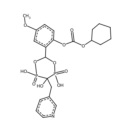 COc1ccc(OC(=O)OC2CCCCC2)c(C2OP(=O)(O)C(O)(Cc3cccnc3)P(=O)(O)O2)c1